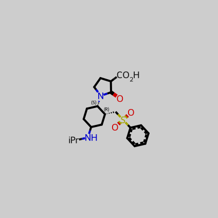 CC(C)NC1CC[C@H](N2CCC(C(=O)O)C2=O)[C@H](CS(=O)(=O)c2ccccc2)C1